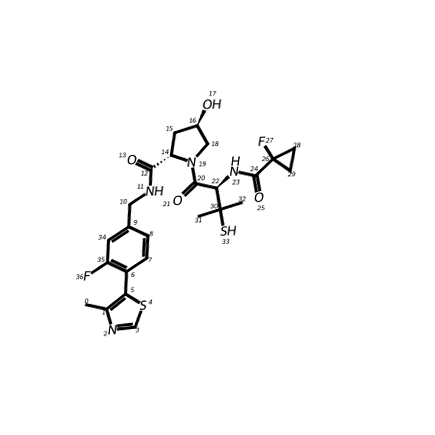 Cc1ncsc1-c1ccc(CNC(=O)[C@@H]2C[C@@H](O)CN2C(=O)[C@@H](NC(=O)C2(F)CC2)C(C)(C)S)cc1F